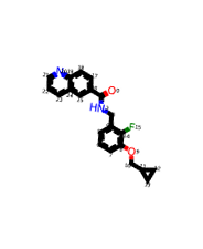 O=C(NCc1cccc(OCC2CC2)c1F)c1ccc2ncccc2c1